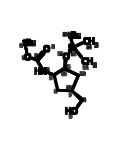 CC(C)(C)OC(=O)NC1C[C@H](CO)C[C@@H]1O[Si](C)(C)C(C)(C)C